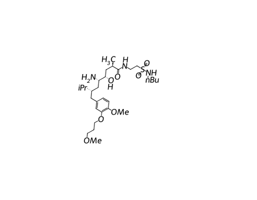 CCCCNS(=O)(=O)CCNC(=O)[C@H](C)C[C@H](O)[C@@H](N)C[C@H](Cc1ccc(OC)c(OCCCOC)c1)C(C)C